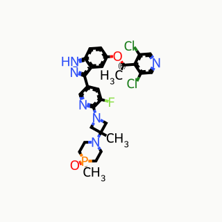 C[C@@H](Oc1ccc2[nH]nc(-c3cnc(N4CC(C)(N5CCP(C)(=O)CC5)C4)c(F)c3)c2c1)c1c(Cl)cncc1Cl